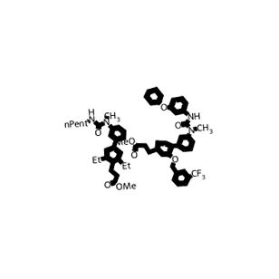 CCCCCNC(=O)N(C)c1cccc(-c2cc(CC)c(CCC(=O)OC)c(CC)c2)c1.COC(=O)CCc1ccc(-c2cccc(N(C)C(=O)Nc3cccc(Oc4ccccc4)c3)c2)c(OCc2cccc(C(F)(F)F)c2)c1